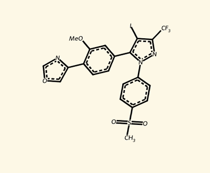 COc1cc(-c2c(I)c(C(F)(F)F)nn2-c2ccc(S(C)(=O)=O)cc2)ccc1-c1cocn1